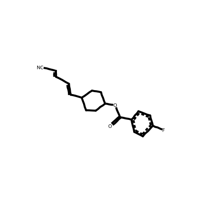 N#CC=C/C=C/C1CCC(OC(=O)c2ccc(F)cc2)CC1